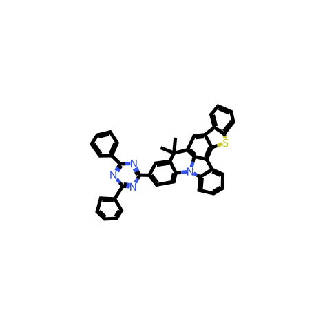 CC1(C)c2cc(-c3nc(-c4ccccc4)nc(-c4ccccc4)n3)ccc2-n2c3ccccc3c3c4sc5ccccc5c4cc1c32